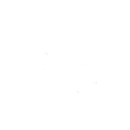 C[C@H](CN1CCCC1)Oc1cnc(Cl)c(Br)c1